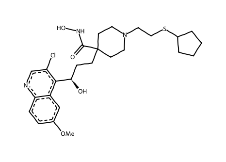 COc1ccc2ncc(Cl)c([C@H](O)CCC3(C(=O)NO)CCN(CCSC4CCCC4)CC3)c2c1